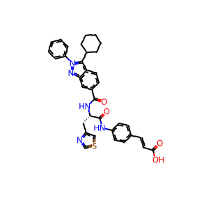 O=C(O)/C=C/c1ccc(NC(=O)[C@H](Cc2cscn2)NC(=O)c2ccc3c(C4CCCCC4)n(-c4ccccc4)nc3c2)cc1